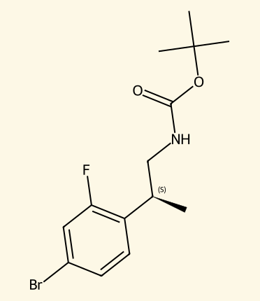 C[C@H](CNC(=O)OC(C)(C)C)c1ccc(Br)cc1F